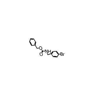 O=C(NCc1ccc(Br)cc1)OCc1ccccc1